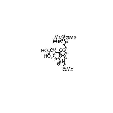 COCCN(CC(COCCC[Si](OC)(OC)OC)OC(=O)CCC(=O)O)C(=O)CCC(=O)O